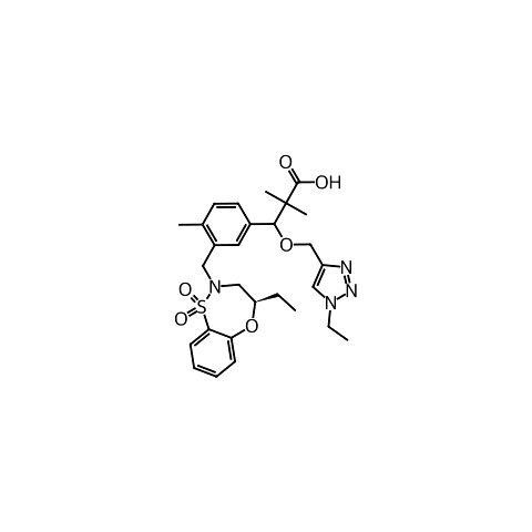 CC[C@@H]1CN(Cc2cc(C(OCc3cn(CC)nn3)C(C)(C)C(=O)O)ccc2C)S(=O)(=O)c2ccccc2O1